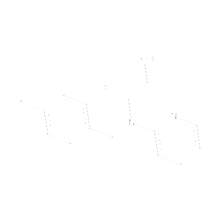 OCCN(Cc1ccc(F)cc1F)c1ccccn1